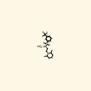 CC1CCCC(C)N1CCNS(=O)(=O)c1cccc(C(F)(F)F)c1.Cl